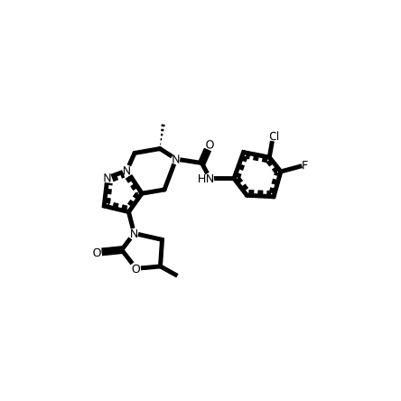 CC1CN(c2cnn3c2CN(C(=O)Nc2ccc(F)c(Cl)c2)[C@@H](C)C3)C(=O)O1